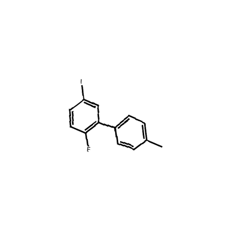 Cc1ccc(-c2cc(I)ccc2F)cc1